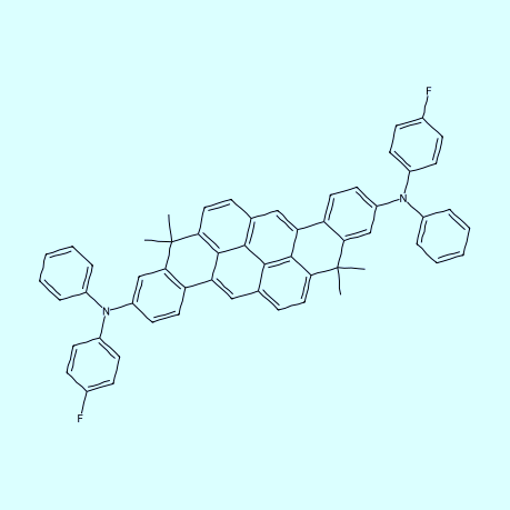 CC1(C)c2cc(N(c3ccccc3)c3ccc(F)cc3)ccc2-c2cc3ccc4c5c(cc6ccc1c2c6c35)-c1ccc(N(c2ccccc2)c2ccc(F)cc2)cc1C4(C)C